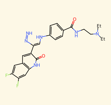 CCN(CC)CCNC(=O)c1ccc(N/C=C(\N=N)c2cc3cc(F)c(F)cc3[nH]c2=O)cc1